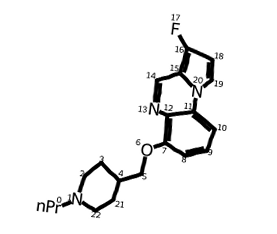 CCCN1CCC(COc2cccc3c2ncc2c(F)ccn23)CC1